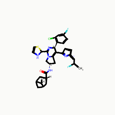 CC(F)/C=C1/C=CC(C2=C3C[C@H](NC(=O)[C@H]4CC5CC(C4)[C@H]5C)CN3C(C3NC=CS3)=N[C@H]2c2ccc(F)cc2Cl)=N1